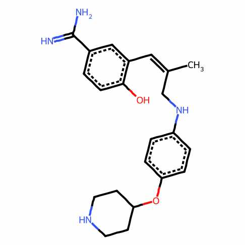 CC(=Cc1cc(C(=N)N)ccc1O)CNc1ccc(OC2CCNCC2)cc1